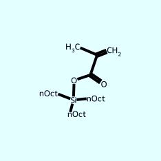 C=C(C)C(=O)O[Si](CCCCCCCC)(CCCCCCCC)CCCCCCCC